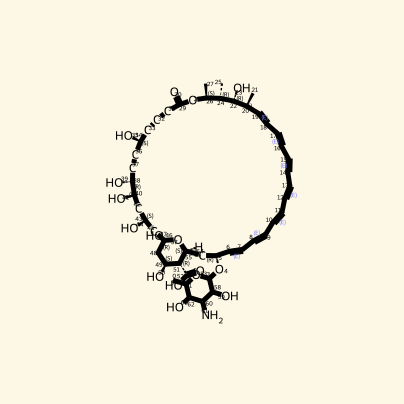 CC1OC(O[C@H]2/C=C/C=C/C=C/C=C/C=C/C=C/C=C/[C@H](C)[C@@H](O)[C@@H](C)[C@H](C)OC(=O)CCC[C@H](O)CC[C@@H](O)[C@H](O)C[C@H](O)C[C@]3(O)C[C@H](O)[C@@H](C(=O)O)[C@H](C2)O3)C(O)C(N)C1O